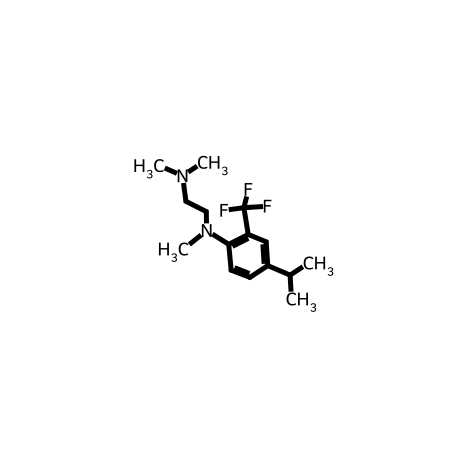 CC(C)c1ccc(N(C)CCN(C)C)c(C(F)(F)F)c1